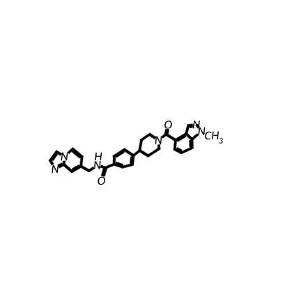 Cn1ncc2c(C(=O)N3CCC(c4ccc(C(=O)NCc5ccn6ccnc6c5)cc4)CC3)cccc21